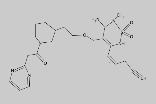 C#CC/C=C\C1=C(COCCC2CCCN(C(=O)Cc3ncccn3)C2)C(N)N(C)S(=O)(=O)N1